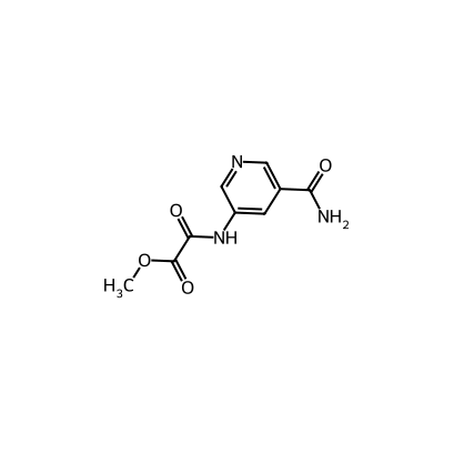 COC(=O)C(=O)Nc1cncc(C(N)=O)c1